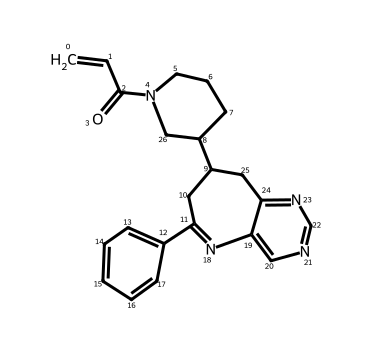 C=CC(=O)N1CCCC(C2CC(c3ccccc3)=Nc3cncnc3C2)C1